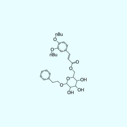 CCCCOc1ccc(/C=C/C(=O)OCC2OC(OCCc3ccccc3)C(O)C(O)C2O)cc1OCCCC